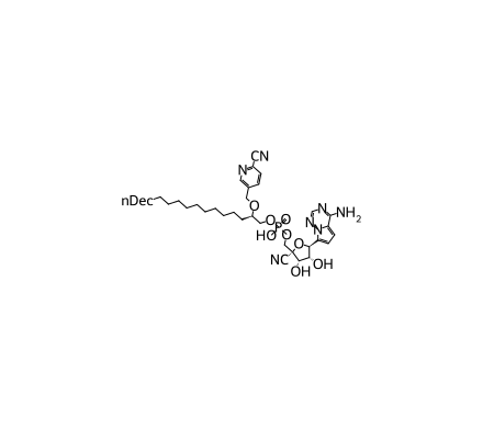 CCCCCCCCCCCCCCCCCCCC[C@H](COP(=O)(O)OC[C@@]1(C#N)O[C@@H](c2ccc3c(N)ncnn23)[C@H](O)[C@@H]1O)OCc1ccc(C#N)nc1